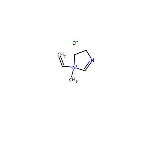 C=C[N+]1(C)C=NCC1.[Cl-]